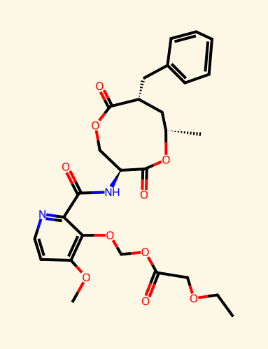 CCOCC(=O)OCOc1c(OC)ccnc1C(=O)N[C@H]1COC(=O)[C@H](Cc2ccccc2)C[C@H](C)OC1=O